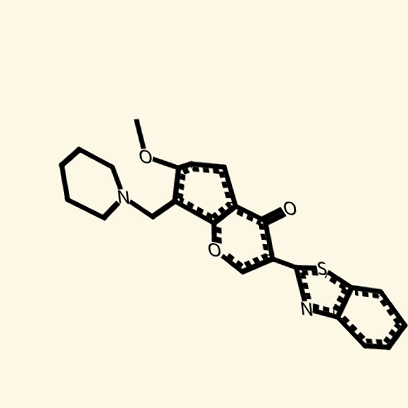 COc1ccc2c(=O)c(-c3nc4ccccc4s3)coc2c1CN1CCCCC1